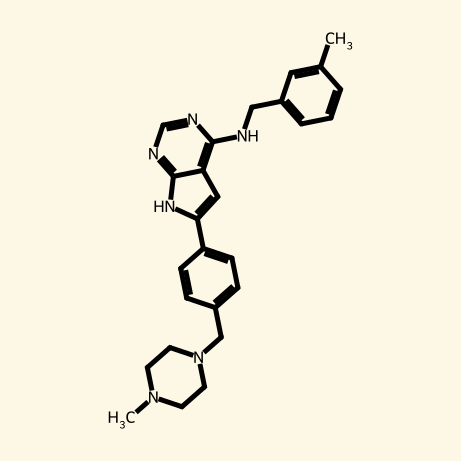 Cc1cccc(CNc2ncnc3[nH]c(-c4ccc(CN5CCN(C)CC5)cc4)cc23)c1